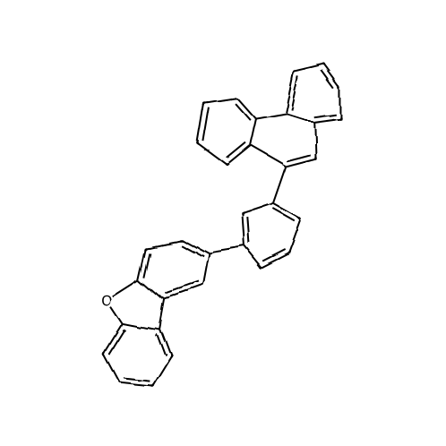 c1cc(-c2ccc3oc4ccccc4c3c2)cc(-c2cc3ccccc3c3ccccc23)c1